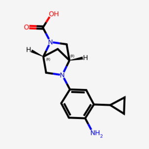 Nc1ccc(N2C[C@H]3C[C@@H]2CN3C(=O)O)cc1C1CC1